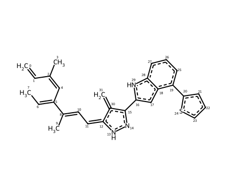 C=C\C(C)=C/C(=C\C)C(/C)=C/C=c1/[nH]nc(-c2cc3c(-c4cccs4)cccc3[nH]2)c1=C